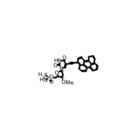 CO[C@@H]1C[C@H](n2cc(C#Cc3ccc4c5c6c(cccc6c6c4c3CC=C6)C=CC5)c(=O)[nH]c2=O)OC1COP(C)(=O)O